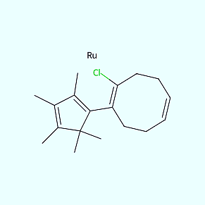 CC1=C(C)C(C)(C)C(C2=C(Cl)CCC=CCC2)=C1C.[Ru]